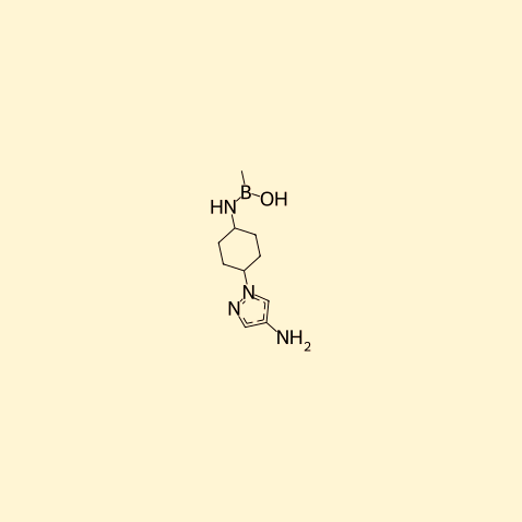 CB(O)NC1CCC(n2cc(N)cn2)CC1